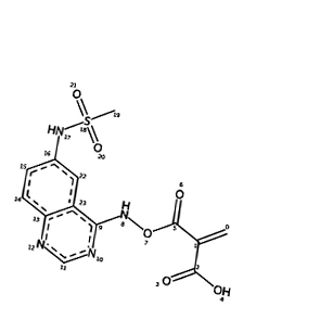 C=C(C(=O)O)C(=O)ONc1ncnc2ccc(NS(C)(=O)=O)cc12